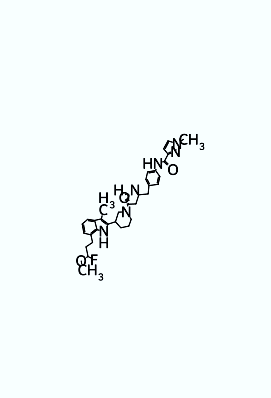 COC(F)CCc1cccc2c(C)c(C3CCCN(C(=O)CC(N)Cc4ccc(NC(=O)c5ccn(C)n5)cc4)C3)[nH]c12